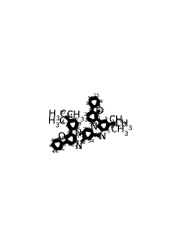 CC(C)(C)c1ccc2c(c1)c1c3oc4ccccc4c3ccc1n2-c1cc(-n2c3ccc(C(C)(C)C)cc3c3c4oc5ccccc5c4ccc32)c(C#N)cc1C#N